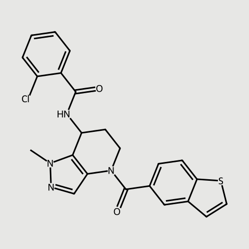 Cn1ncc2c1C(NC(=O)c1ccccc1Cl)CCN2C(=O)c1ccc2sccc2c1